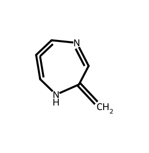 C=C1C=NC=C=CN1